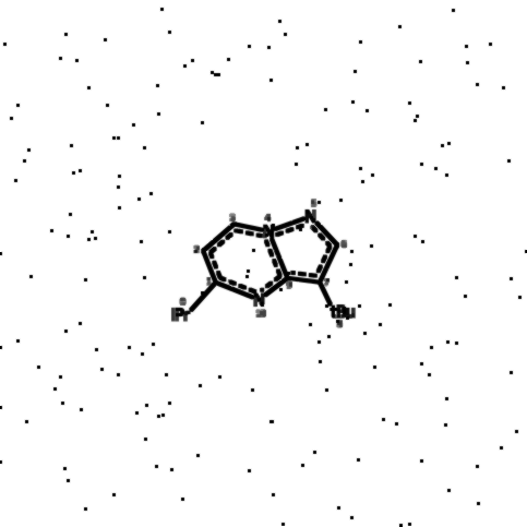 CC(C)c1ccn2ncc(C(C)(C)C)c2n1